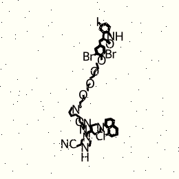 N#CCC1CN(c2nc(OCC3CCCN3CCCOCCOCCOCCOc3c(Br)cc(C=C4C(=O)Nc5ccc(I)cc54)cc3Br)nc3c2CCN(c2cccc4cccc(Cl)c24)C3)CCN1